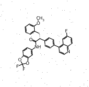 COc1ccccc1C[C@@H](C(=O)Nc1ccc2c(c1)OC(F)(F)O2)c1ccc(-c2ccnc3ccc(F)cc23)cc1